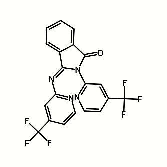 O=C1c2ccccc2/C(=N/c2cc(C(F)(F)F)ccn2)N1c1cc(C(F)(F)F)ccn1